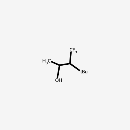 CC(O)C(C(C)(C)C)C(F)(F)F